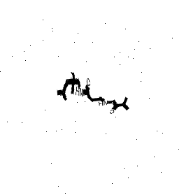 CC(C)CC(C)(C)CNC(=O)CCNCC(=O)C(C)C